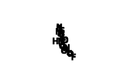 CN(C)c1nc2sc(C(=O)Nc3ccc4oc(-c5ccc(F)cc5)nc4c3)cc2s1